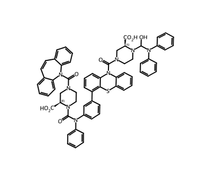 O=C(O)[C@H]1CN(C(=O)N2c3ccccc3C=Cc3ccccc32)CCN1C(=O)N(c1ccccc1)c1cccc(-c2cccc3c2Sc2ccccc2N3C(=O)N2CCN(C(O)N(c3ccccc3)c3ccccc3)[C@H](C(=O)O)C2)c1